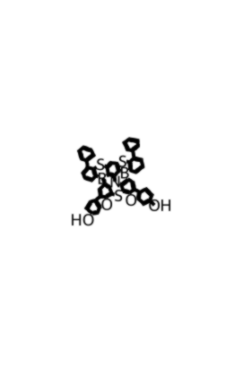 Oc1ccc2c(c1)oc1c3c4c(cc12)B1c2cccc(-c5ccccc5)c2Sc2cc5c6c(c21)N4c1c(cc2c(oc4cc(O)ccc42)c1S3)B6c1cccc(-c2ccccc2)c1S5